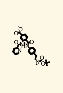 COC(=O)c1ccc(C(=O)Nc2ccc(CCN(C)C(=O)OC(C)(C)C)cc2)c(NC(=O)c2ccccn2)c1